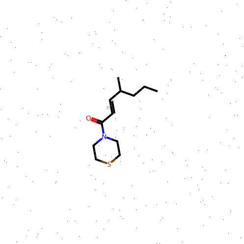 CCCC(C)/C=C/C(=O)N1CCSCC1